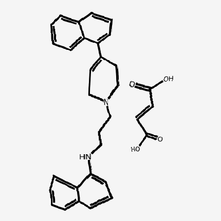 C1=C(c2cccc3ccccc23)CCN(CCCNc2cccc3ccccc23)C1.O=C(O)/C=C/C(=O)O